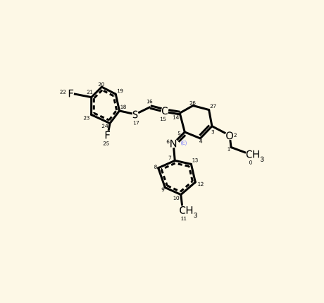 CCOC1=C/C(=N\c2ccc(C)cc2)C(=C=CSc2ccc(F)cc2F)CC1